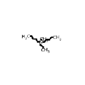 CCCCC[N+](C)(CCC)CCCCC